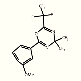 COc1cccc(C2=NC(C(F)(F)F)(C(F)(F)F)N=C(C(F)(F)C(F)(F)F)O2)c1